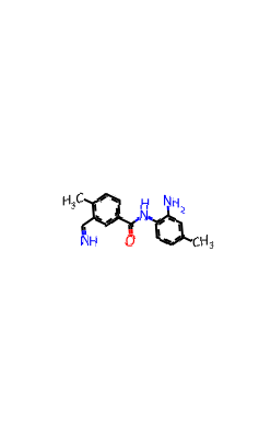 Cc1ccc(NC(=O)c2ccc(C)c(C=N)c2)c(N)c1